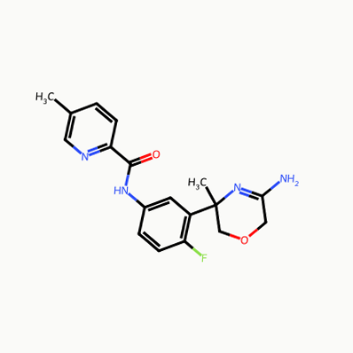 Cc1ccc(C(=O)Nc2ccc(F)c(C3(C)COCC(N)=N3)c2)nc1